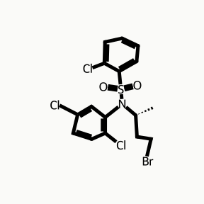 C[C@H](CCBr)N(c1cc(Cl)ccc1Cl)S(=O)(=O)c1ccccc1Cl